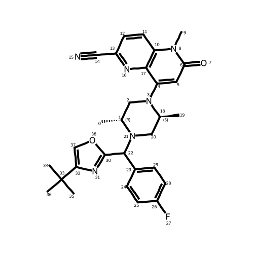 C[C@@H]1CN(c2cc(=O)n(C)c3ccc(C#N)nc23)[C@@H](C)CN1C(c1ccc(F)cc1)c1nc(C(C)(C)C)co1